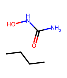 CCCC.NC(=O)NO